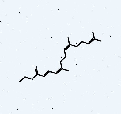 CCOC(=O)C=CC=C(C)CCC=C(C)CCC=C(C)C